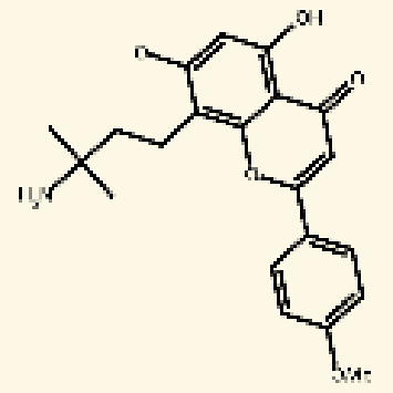 COc1ccc(-c2cc(=O)c3c(O)cc(O)c(CCC(C)(C)N)c3o2)cc1